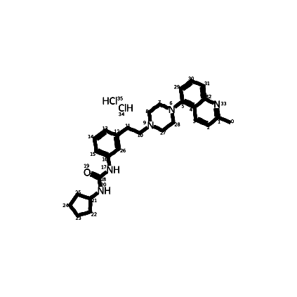 Cc1ccc2c(N3CCN(CCc4cccc(NC(=O)NC5CCCC5)c4)CC3)cccc2n1.Cl.Cl